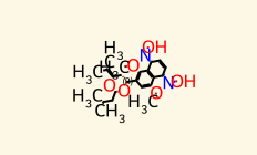 COc1cc([C@@H](CC=C(C)C)OC(=O)CC(C)C)c(OC)c2c1C(=NO)C=CC2=NO